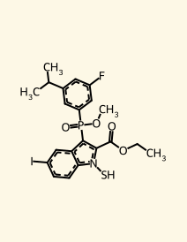 CCOC(=O)c1c(P(=O)(OC)c2cc(F)cc(C(C)C)c2)c2cc(I)ccc2n1S